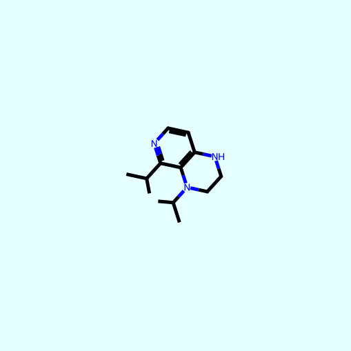 CC(C)c1nccc2c1N(C(C)C)CCN2